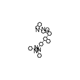 c1ccc(-c2nc(-c3ccccc3)nc(-c3ccc(-c4ccc(-c5cccc6oc7nc(-c8nccc9ccccc89)ccc7c56)c5ccccc45)cc3)n2)cc1